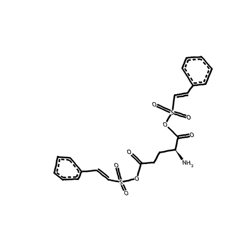 N[C@@H](CCC(=O)OS(=O)(=O)C=Cc1ccccc1)C(=O)OS(=O)(=O)C=Cc1ccccc1